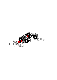 COc1ccc(CN(Cc2ccc(OC)cc2)S(=O)(=O)c2c(S(=O)(=O)NCCN(C(=O)O)C(C)(C)C)ccc(I)c2-c2nnn(Cc3ccc(OC)cc3)n2)cc1